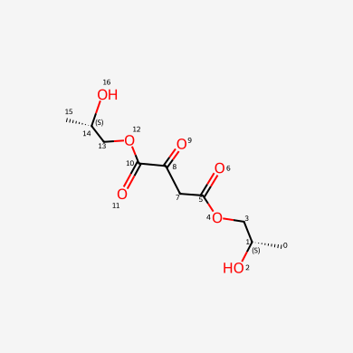 C[C@H](O)COC(=O)CC(=O)C(=O)OC[C@H](C)O